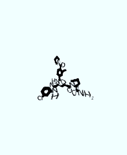 Cc1cc(C(=O)N[C@@H](CCC(=O)N2CCC[C@H]2C(N)=O)c2nc3ccc(Cl)cc3[nH]2)ccc1C(=O)N1CCCC1